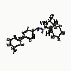 O=C1N[C@@H](/C=C/c2ccc(-c3cccc(F)c3)cn2)[C@@H]2CCCC[C@H]12